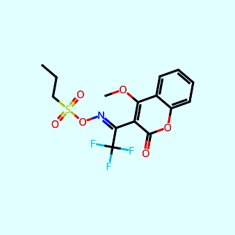 CCCS(=O)(=O)O/N=C(/c1c(OC)c2ccccc2oc1=O)C(F)(F)F